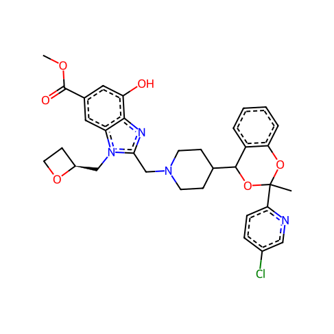 COC(=O)c1cc(O)c2nc(CN3CCC(C4OC(C)(c5ccc(Cl)cn5)Oc5ccccc54)CC3)n(C[C@@H]3CCO3)c2c1